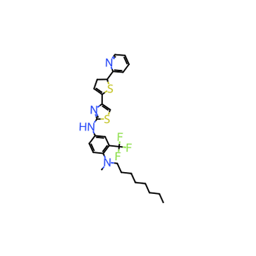 CCCCCCCCN(C)c1ccc(Nc2nc(C3=CCC(c4ccccn4)S3)cs2)cc1C(F)(F)F